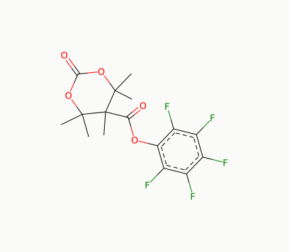 CC1(C)OC(=O)OC(C)(C)C1(C)C(=O)Oc1c(F)c(F)c(F)c(F)c1F